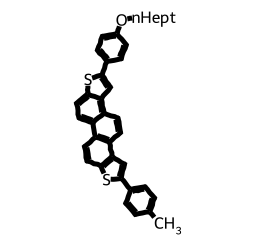 CCCCCCCOc1ccc(-c2cc3c(ccc4c3ccc3c5cc(-c6ccc(C)cc6)sc5ccc34)s2)cc1